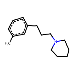 FC(F)(F)c1c[c]cc(CCCN2CCCCC2)c1